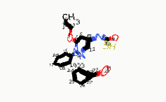 CCCOc1cc(=NC(=O)S)cnn1C1C=CCC=C1.O=c1c2ccccc12